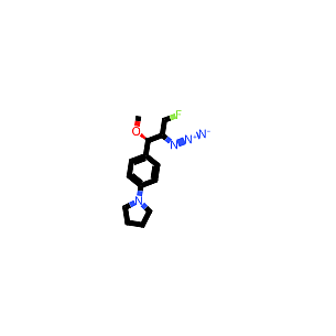 CO[C@H](c1ccc(N2CCCC2)cc1)C(CF)N=[N+]=[N-]